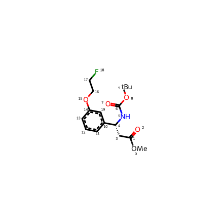 COC(=O)C[C@@H](NC(=O)OC(C)(C)C)c1cccc(OCCF)c1